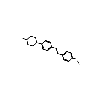 CCCCCOc1ccc(CCc2ccc(C3CCC(CCCC)CC3)cc2)cc1